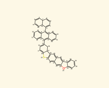 C1=CC2C=CC=C(c3c4ccccc4c(C4=CC=C5Sc6cc7cc8oc9ccccc9c8cc7cc6C5C4)c4ccccc34)C2C=C1